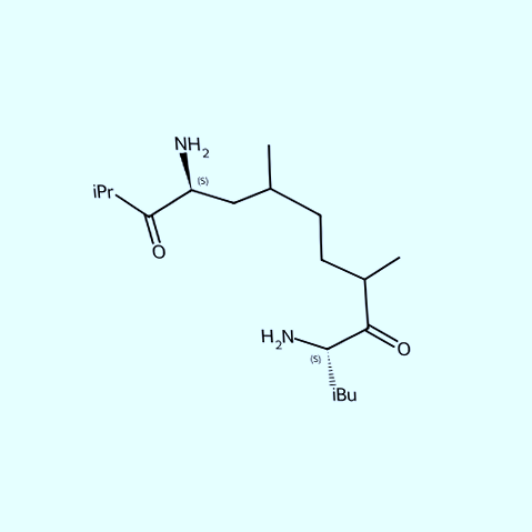 CCC(C)[C@H](N)C(=O)C(C)CCC(C)C[C@H](N)C(=O)C(C)C